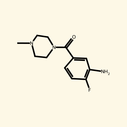 CN1CCN(C(=O)c2ccc(F)c(N)c2)CC1